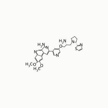 COc1cc2ncc3c(N)nc(-c4cncc(OC[C@H](N)CN5CCC[C@@H]5c5nccs5)c4)cc3c2cc1OC